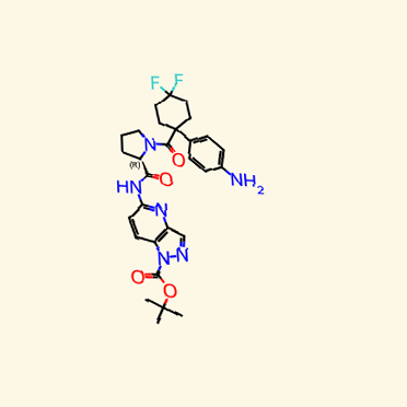 CC(C)(C)OC(=O)n1ncc2nc(NC(=O)[C@H]3CCCN3C(=O)C3(c4ccc(N)cc4)CCC(F)(F)CC3)ccc21